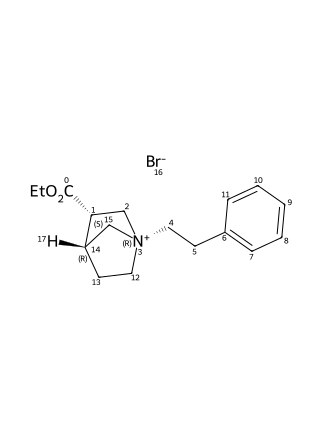 CCOC(=O)[C@@H]1C[N@@+]2(CCc3ccccc3)CC[C@H]1C2.[Br-]